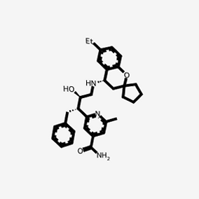 CCc1ccc2c(c1)[C@@H](NC[C@H](O)[C@@H](Cc1ccccc1)c1cc(C(N)=O)cc(C)n1)CC1(CCCC1)O2